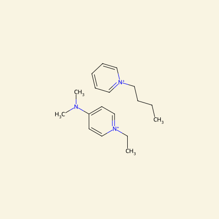 CCCC[n+]1ccccc1.CC[n+]1ccc(N(C)C)cc1